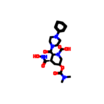 CN(C)C(=O)O[C@H]1C[C@H](C(=O)NO)[C@@H](C(=O)N2CCN(c3ccccc3)CC2)N(C(=O)O)C1